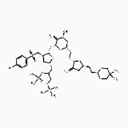 C=C1C[C@H](CCC2OCC(C)(C)CO2)O[C@H]1CC[C@H]1C[C@H](C)C(=C)[C@@H](C[C@@H]2O[C@H](CC(CO[Si](C)(C)C(C)(C)C)O[Si](C)(C)C(C)(C)C)C[C@H]2CS(=O)(=O)c2ccc(CC)cc2)O1